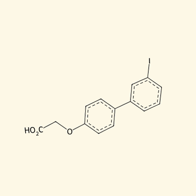 O=C(O)COc1ccc(-c2cccc(I)c2)cc1